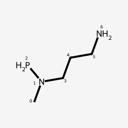 CN(P)CCCN